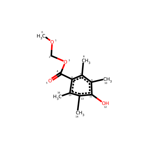 COCOC(=O)c1c(C)c(C)c(O)c(C)c1C